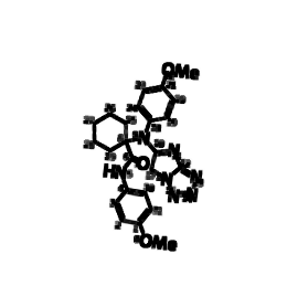 COc1ccc(NC(=O)C2(N(C3=Nc4nnnn4C3)c3ccc(OC)cc3)CCCCC2)cc1